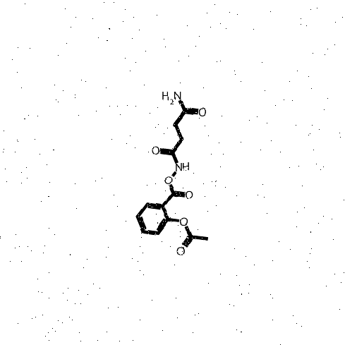 CC(=O)Oc1ccccc1C(=O)ONC(=O)CCC(N)=O